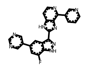 Fc1cc(-c2cncnc2)cc2c(-c3nc4c(-c5cccnc5)nccc4[nH]3)n[nH]c12